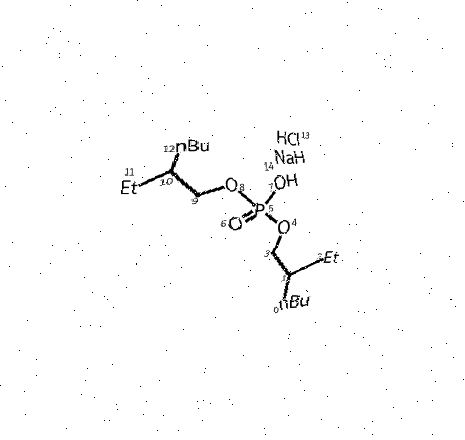 CCCCC(CC)COP(=O)(O)OCC(CC)CCCC.Cl.[NaH]